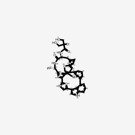 CCC(CO)(CO)C(=O)N[C@H]1Cc2ccc3c(c2)C24c5cccc(c5NC2O3)-c2cccc3[nH]cc(c23)-c2cnc(o2)-c2nc(oc24)[C@H](C(C)C)NC1=O